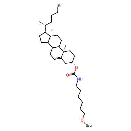 CC(C)CCC[C@@H](C)C1CCC2C3CC=C4C[C@@H](OC(=O)NCCCCCCOC(C)(C)C)CC[C@]4(C)C3CC[C@@]21C